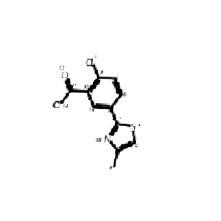 Cc1csc(-c2ccc(Cl)c(C(=O)Cl)c2)n1